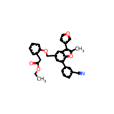 CCOC(=O)Cc1ccccc1OCc1cc(-c2cccc(C#N)c2)c2oc(C)c(-c3ccoc3)c2c1